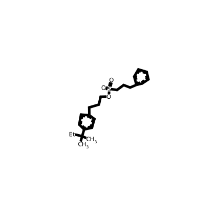 CCC(C)(C)c1ccc(CCCOS(=O)(=O)CCCc2ccccc2)cc1